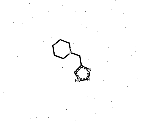 c1[nH]nnc1CN1CCCCC1